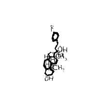 CC[C@@](O)(CCc1ccc(F)cc1)[C@H]1CC[C@H]2[C@@H]3CC=C4C[C@@H](O)CC[C@]4(C)[C@H]3CC[C@]12C